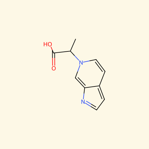 CC(C(=O)O)n1ccc2ccnc-2c1